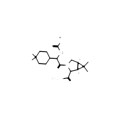 COC(=O)C1[C@@H]2[C@H](CN1C(=O)C(NC(=O)OC(C)(C)C)C1CCC(F)(F)CC1)C2(C)C